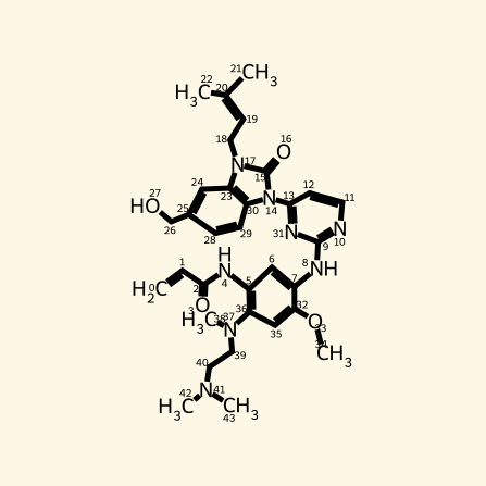 C=CC(=O)Nc1cc(Nc2nccc(-n3c(=O)n(CC=C(C)C)c4cc(CO)ccc43)n2)c(OC)cc1N(C)CCN(C)C